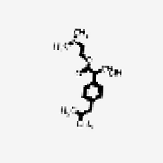 CC(C)Cc1ccc(C(C)C(=O)OCCN(C)C)cc1.Cl